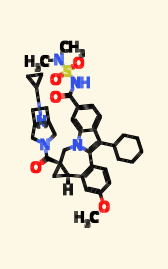 COc1ccc2c(c1)[C@@H]1C[C@]1(C(=O)N1CC34CCC3(C1)CN(C1CC1)C4)Cn1c-2c(C2CCCCC2)c2ccc(C(=O)NS(=O)(=O)N(C)C)cc21